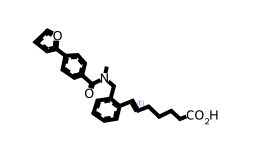 CN(Cc1ccccc1/C=C/CCCCC(=O)O)C(=O)c1ccc(-c2ccco2)cc1